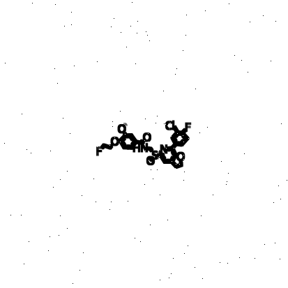 COc1cc(C(=O)NC[S+]([O-])c2cc3c(c(-c4ccc(F)c(Cl)c4)n2)OCC3)ccc1OCCF